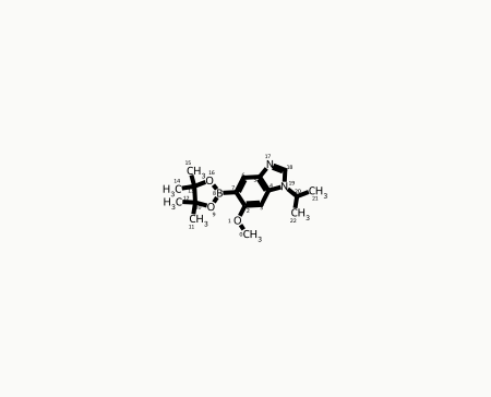 COc1cc2c(cc1B1OC(C)(C)C(C)(C)O1)ncn2C(C)C